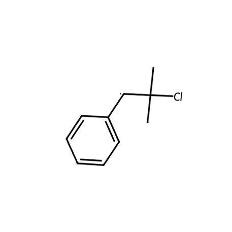 CC(C)(Cl)[CH]c1ccccc1